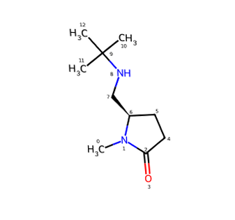 CN1C(=O)CC[C@@H]1CNC(C)(C)C